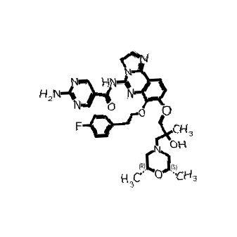 C[C@@H]1CN(CC(C)(O)COc2ccc3c(c2OCCc2ccc(F)cc2)N=C(NC(=O)c2cnc(N)nc2)N2CCN=C32)C[C@H](C)O1